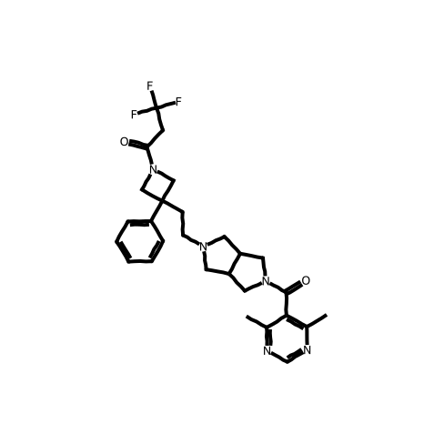 Cc1ncnc(C)c1C(=O)N1CC2CN(CCC3(c4ccccc4)CN(C(=O)CC(F)(F)F)C3)CC2C1